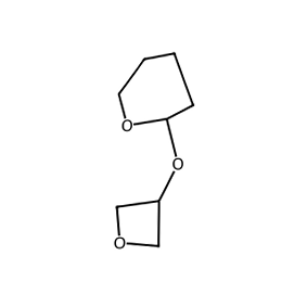 C1CCC(OC2COC2)OC1